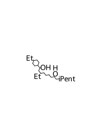 CCCC(C)CC(O)CCCC[C@H](CC)CC(O)C1CCC(CC)CC1